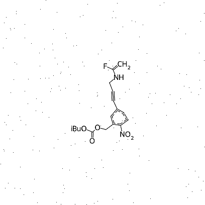 C=C(F)NCC#Cc1ccc([N+](=O)[O-])c(COC(=O)OCC(C)C)c1